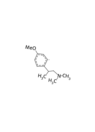 COc1c[c]c(C(C)CN(C)C)cc1